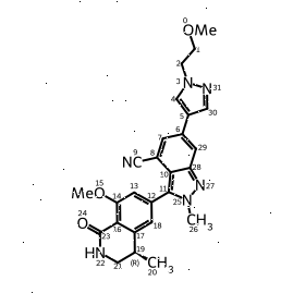 COCCn1cc(-c2cc(C#N)c3c(-c4cc(OC)c5c(c4)[C@@H](C)CNC5=O)n(C)nc3c2)cn1